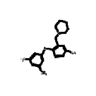 Cc1cc(C)cc(Sc2ccc(C#N)cc2CN2CCCCC2)c1